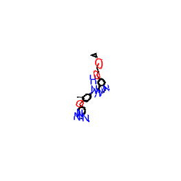 Cc1cc(Nc2ncnc3ccc(OCCOC4CC4)cc23)ccc1Oc1ccc2ncnn2c1